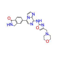 O=C1NCc2cc(-c3cnc(Nc4nc(CN5CCOCC5)co4)c4nccn34)ccc21